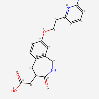 CNc1cccc(CCOc2ccc3c(c2)CNC(=O)C(CC(=O)O)C3)n1